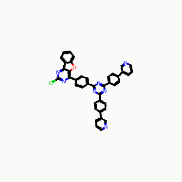 Clc1nc(-c2ccc(-c3nc(-c4ccc(-c5cccnc5)cc4)nc(-c4ccc(-c5cccnc5)cc4)n3)cc2)c2oc3ccccc3c2n1